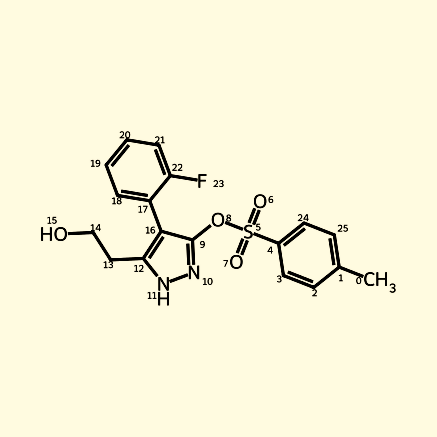 Cc1ccc(S(=O)(=O)Oc2n[nH]c(CCO)c2-c2ccccc2F)cc1